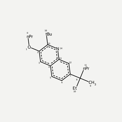 CCCOc1cc2ccc(C(C)(CC)CCC)cc2nc1C(C)(C)C